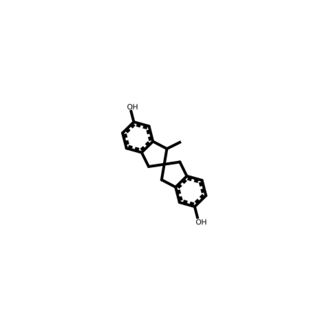 CC1c2cc(O)ccc2CC12Cc1ccc(O)cc1C2